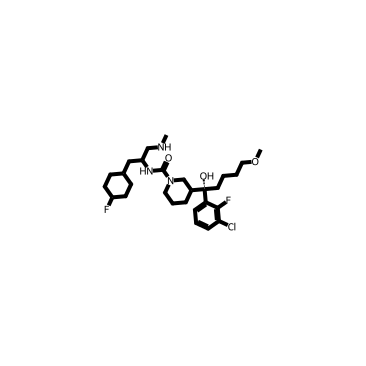 CNCC(CC1CCC(F)CC1)NC(=O)N1CCCC([C@@](O)(CCCCOC)c2cccc(Cl)c2F)C1